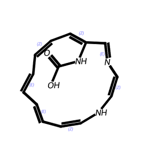 O=C(O)NC1=C\C=C/C=C/C=C/C=C\N/C=C\N=C\1